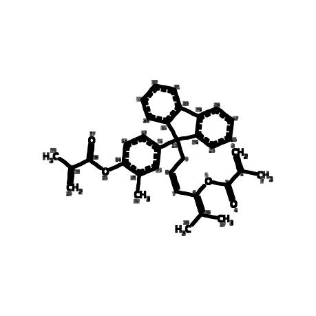 C=C(C)C(=O)OC(/C=C\CC1(c2ccc(OC(=O)C(=C)C)c(C)c2)c2ccccc2-c2ccccc21)=C(C)C